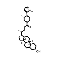 C[C@H](CCC(=O)N1CCN(c2ccnn2C)[C@@H](C)C1)[C@H]1CC[C@H]2[C@@H]3CC=C4C[C@@H](O)CC[C@]4(C)[C@H]3CC[C@]12C